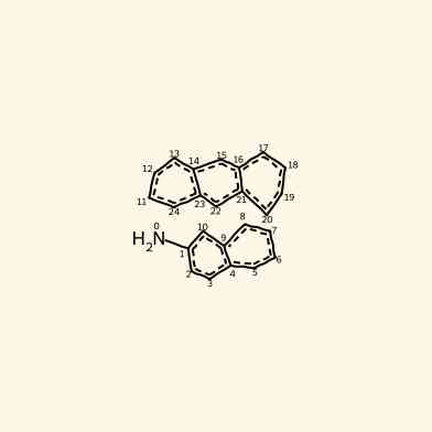 Nc1ccc2ccccc2c1.c1ccc2cc3ccccc3cc2c1